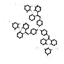 Cc1cc(C)c(N2c3ccccc3C(=Cc3ccc(N(c4ccc(C=C5c6ccccc6N(c6c(C)cc(C)cc6C)c6ccccc65)cc4)c4ccc(C=C5c6ccccc6N(c6c(C)cc(C)cc6C)c6ccccc65)cc4)cc3)c3ccccc32)c(C)c1